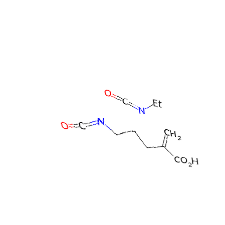 C=C(CCCN=C=O)C(=O)O.CCN=C=O